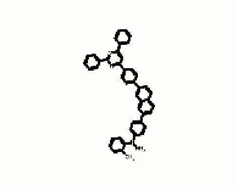 Cc1ccccc1N(N)c1ccc(-c2ccc3ccc(-c4ccc(-c5cc(-c6ccccc6)nc(-c6ccccc6)n5)cc4)cc3c2)cc1